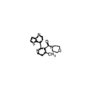 Cc1ccnc(-c2ccnc3ccsc23)c1C(=O)N1CCOCC1